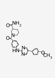 COc1ccc(-c2cnc(Nc3ccc(C(=O)N4CCCC(C(N)=O)C4)cc3)nc2)cc1